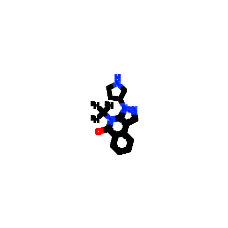 [2H]C([2H])([2H])n1c(=O)c2ccccc2c2cnn(C3CCNC3)c21